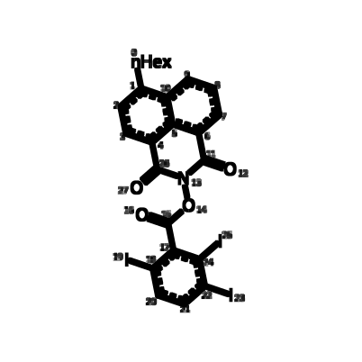 CCCCCCc1ccc2c3c(cccc13)C(=O)N(OC(=O)c1c(I)ccc(I)c1I)C2=O